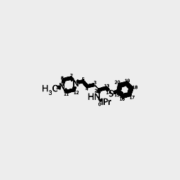 CC(C)N[C@H](CCCN1CCN(C)CC1)CSc1ccccc1